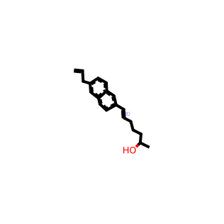 C=CCc1ccc2cc(/C=C/CCCC(C)O)ccc2c1